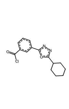 O=C(Cl)c1cccc(-c2nnc(C3CCCCC3)o2)c1